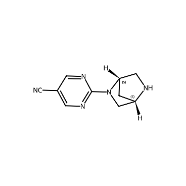 N#Cc1cnc(N2C[C@@H]3C[C@H]2CN3)nc1